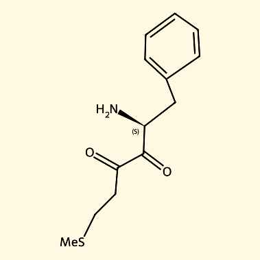 CSCCC(=O)C(=O)[C@@H](N)Cc1ccccc1